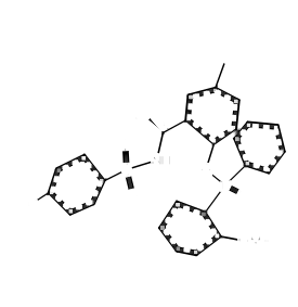 COc1ccccc1P(=O)(Oc1ccc(Cl)cc1[C@H](C)NS(=O)(=O)c1ccc(C)cc1)c1ccccc1